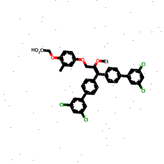 CCOC(COc1ccc(OCC(=O)O)c(C)c1)=C(c1ccc(-c2cc(Cl)cc(Cl)c2)cc1)c1ccc(-c2cc(Cl)cc(Cl)c2)cc1